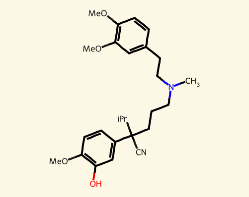 COc1ccc(C(C#N)(CCCN(C)CCc2ccc(OC)c(OC)c2)C(C)C)cc1O